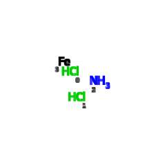 Cl.Cl.N.[Fe]